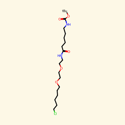 CC(C)(C)OC(=O)NCCCCCC(=O)NCCOCCOCCCCCCCl